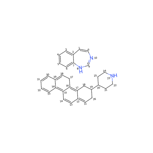 C1=Cc2ccccc2NC=N1.C1=c2ccc3c(c2CC(C2CCNCC2)C1)CC=c1ccccc1=3